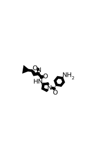 N[C@H]1CC[C@H](C(=O)N2CC[C@H](NC(=O)c3cc(C4CC4)on3)C2)CC1